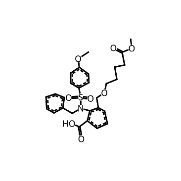 COC(=O)CCCCOCc1cccc(C(=O)O)c1N(Cc1ccccc1)S(=O)(=O)c1ccc(OC)cc1